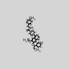 CCC(Oc1cc2ncnc(N3CCN(C(=S)NCc4cnc(C)cn4)CC3)c2cc1OC)C1CCCNC1